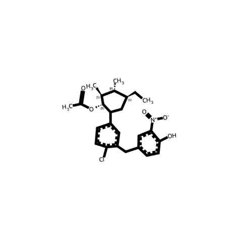 CC[C@H]1CC(c2ccc(Cl)c(Cc3ccc(O)c([N+](=O)[O-])c3)c2)[C@H](OC(C)=O)[C@@H](C)[C@@H]1C